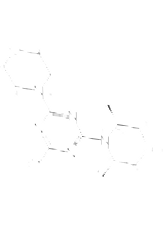 C[C@@H]1COCCN1c1nc(Cl)nc(N2[C@H](C)COC[C@@H]2C)n1